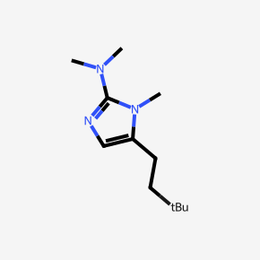 CN(C)c1ncc(CCC(C)(C)C)n1C